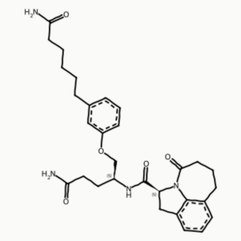 NC(=O)CCCCCc1cccc(OC[C@H](CCC(N)=O)NC(=O)[C@@H]2Cc3cccc4c3N2C(=O)CCC4)c1